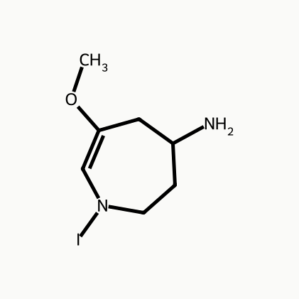 COC1=CN(I)CCC(N)C1